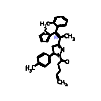 C=CCCC(=O)N1N=C(/C(C)=C(\c2cccs2)c2ccccc2C)CC1c1ccc(C)cc1